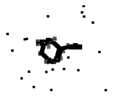 CC(=O)CO.CCCCC(=O)CC